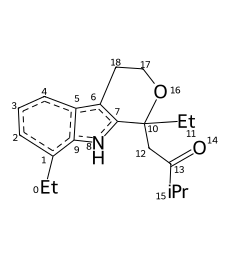 CCc1cccc2c3c([nH]c12)C(CC)(CC(=O)C(C)C)OCC3